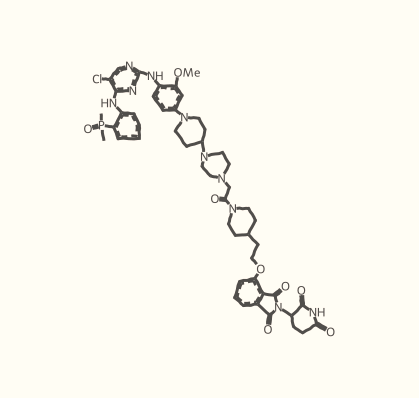 COc1cc(N2CCC(N3CCN(CC(=O)N4CCC(CCOc5cccc6c5C(=O)N(C5CCC(=O)NC5=O)C6=O)CC4)CC3)CC2)ccc1Nc1ncc(Cl)c(Nc2ccccc2P(C)(C)=O)n1